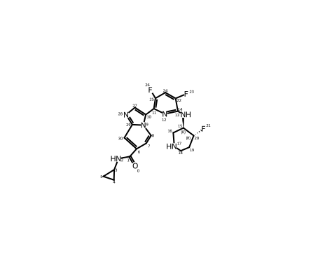 O=C(NC1CC1)c1ccn2c(-c3nc(N[C@@H]4CNCC[C@H]4F)c(F)cc3F)cnc2c1